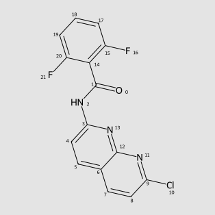 O=C(Nc1ccc2ccc(Cl)nc2n1)c1c(F)cccc1F